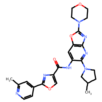 Cc1cc(-c2nc(C(=O)Nc3cc4oc(N5CCOCC5)nc4nc3N3CCC(C)C3)co2)ccn1